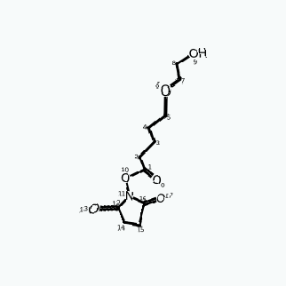 O=C(CCCCOCCO)ON1C(=O)CCC1=O